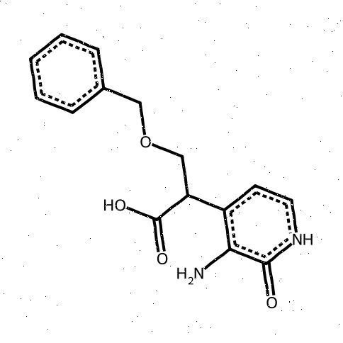 Nc1c(C(COCc2ccccc2)C(=O)O)cc[nH]c1=O